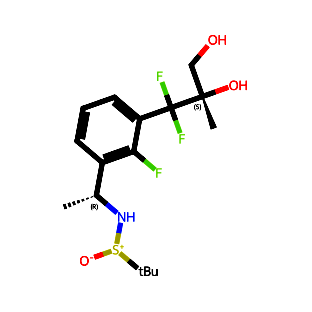 C[C@@H](N[S+]([O-])C(C)(C)C)c1cccc(C(F)(F)[C@@](C)(O)CO)c1F